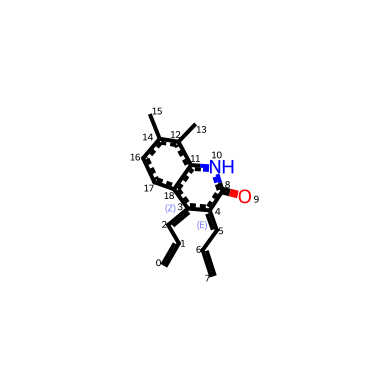 C=C/C=c1\c(=C/C=C)c(=O)[nH]c2c(C)c(C)ccc12